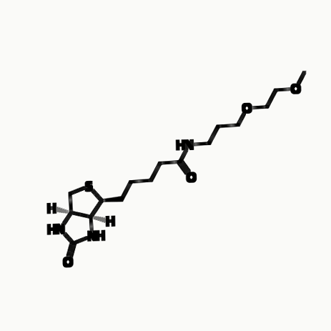 COCCOCCCNC(=O)CCCC[C@@H]1SC[C@@H]2NC(=O)N[C@@H]21